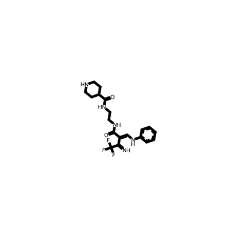 N=C(/C(=C\Nc1ccccc1)C(=O)NCCNC(=O)C1CCNCC1)C(F)(F)F